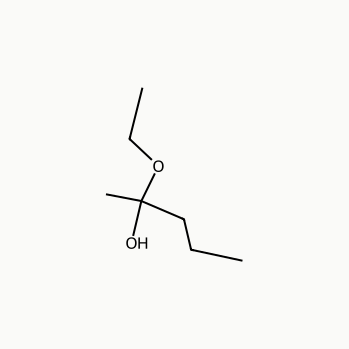 CCCC(C)(O)OCC